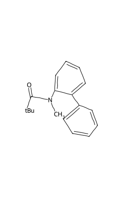 CN(C(=O)C(C)(C)C)c1ccccc1-c1ccccc1